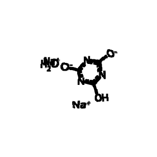 O.[Na+].[Na+].[O-]c1nc([O-])nc(O)n1